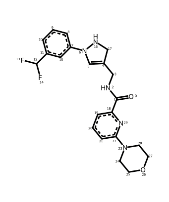 O=C(NCC1=CN(c2cccc(C(F)F)c2)NC1)c1cccc(N2CCOCC2)n1